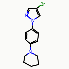 Brc1cnn(-c2ccc(N3CCCCC3)cc2)c1